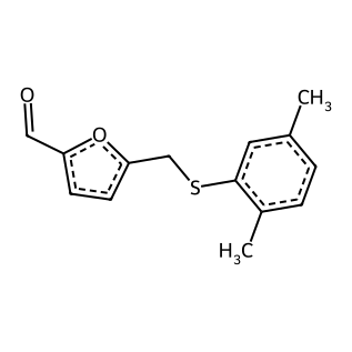 Cc1ccc(C)c(SCc2ccc(C=O)o2)c1